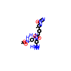 Cc1cc(C(=O)N2CCN(C)CC2)ncc1-c1ccc(C[C@H](N)C(=O)N(c2ccc(-c3nnn[nH]3)cc2)C(=O)[C@H]2CC[C@H](CNC(=O)OC(C)(C)C)CC2)cc1